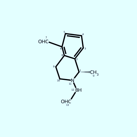 C[C@H]1c2cccc(C=O)c2CCN1BC=O